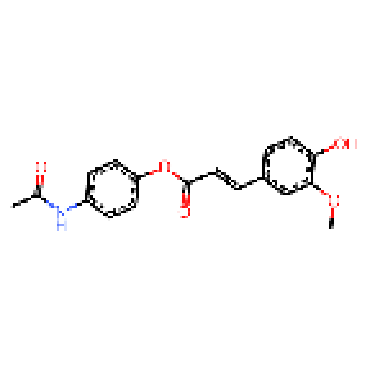 COc1cc(/C=C/C(=O)Oc2ccc(NC(C)=O)cc2)ccc1O